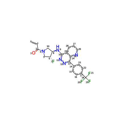 C=CC(=O)N1C[C@@H](F)[C@H](Nc2nnc(-c3ccc(C(F)(F)F)cc3)c3ncccc23)C1